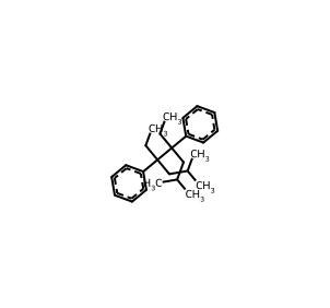 CCC(CC(C)C)(c1ccccc1)C(CC)(CC(C)C)c1ccccc1